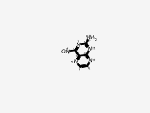 Nc1nc(N=O)c2nccnc2n1